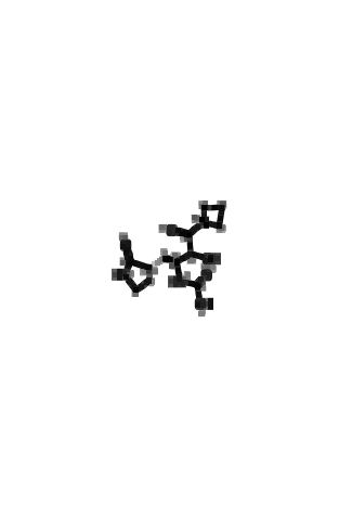 O=C(O)N[C@@H](C[C@@H]1CCNC1=O)C(O)C(=O)N1CCC1